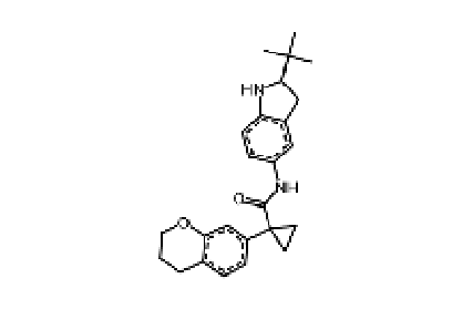 CC(C)(C)C1Cc2cc(NC(=O)C3(c4ccc5c(c4)OCCC5)CC3)ccc2N1